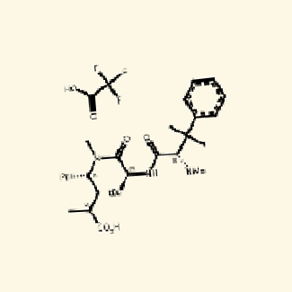 CN[C@H](C(=O)N[C@H](C(=O)N(C)[C@H](C[C@H](C)C(=O)O)C(C)C)C(C)(C)C)C(C)(C)c1ccccc1.O=C(O)C(F)(F)F